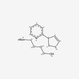 C1=CC(c2ccccn2)SS1.CCCCCCCCCCOOOO